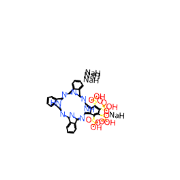 O=S(=O)(O)c1c(S(=O)(=O)O)c(S(=O)(=O)O)c2c3nc4nc(nc5[nH]c(nc6nc(nc([nH]3)c2c1S(=O)(=O)O)-c1ccccc1-6)c1ccccc51)-c1ccccc1-4.[NaH].[NaH].[NaH].[NaH]